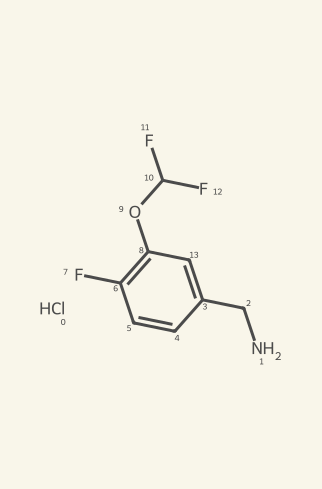 Cl.NCc1ccc(F)c(OC(F)F)c1